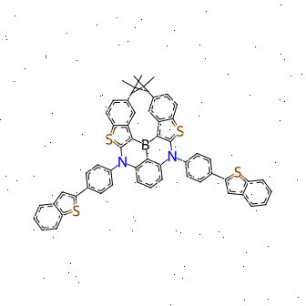 CC(C)(C)c1ccc2sc3c(c2c1)B1c2c(cccc2N(c2ccc(-c4cc5ccccc5s4)cc2)c2sc4ccc(C(C)(C)C)cc4c21)N3c1ccc(-c2cc3ccccc3s2)cc1